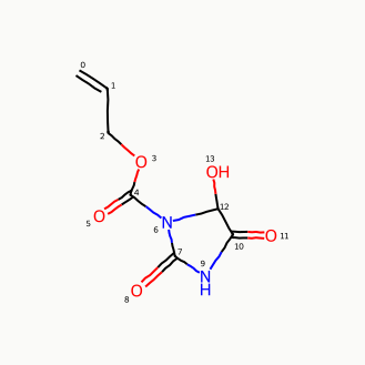 C=CCOC(=O)N1C(=O)NC(=O)C1O